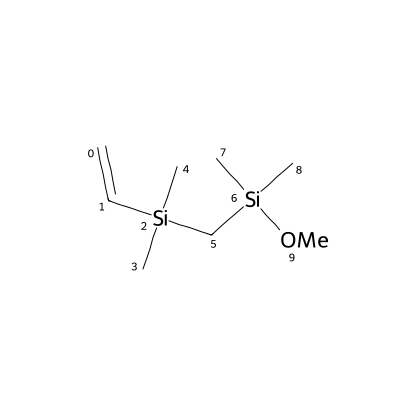 C=C[Si](C)(C)C[Si](C)(C)OC